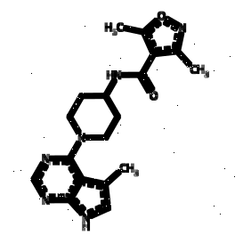 Cc1noc(C)c1C(=O)NC1CCN(c2ncnc3[nH]cc(C)c23)CC1